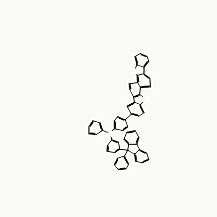 c1ccc(N(c2ccc(-c3ccc4oc5c(ccc6c5ccc5c7ccccc7oc56)c4c3)cc2)c2cccc(C3(c4ccccc4)c4ccccc4-c4ccccc43)c2)cc1